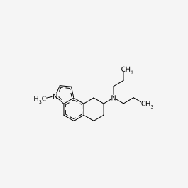 CCCN(CCC)C1CCc2ccc3c(ccn3C)c2C1